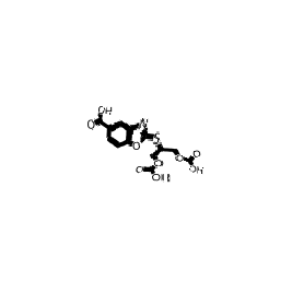 O=C(O)OCC(COC(=O)O)Sc1nc2cc(C(=O)O)ccc2o1